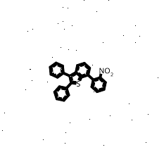 O=[N+]([O-])c1ccccc1-c1cccc2c(-c3ccccc3)c(-c3ccccc3)sc12